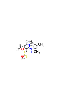 CCOC(=S)SCc1c(OC(CC)CC)cc(C)nc1Nc1c(C)cc(C)cc1C